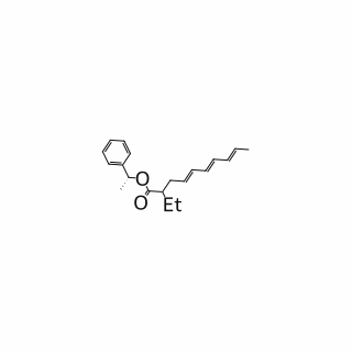 CC=CC=CC=CCC(CC)C(=O)O[C@H](C)c1ccccc1